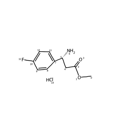 COC(=O)C[C@@H](N)c1ccc(F)cc1.Cl